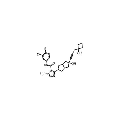 Cn1cnc(C2CC3CC(O)(C#CCC4(O)CCC4)CC3C2)c1C(=O)Nc1ccc(F)c(Cl)c1